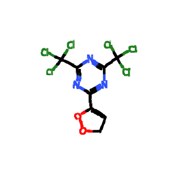 ClC(Cl)(Cl)c1nc(C2=CCOO2)nc(C(Cl)(Cl)Cl)n1